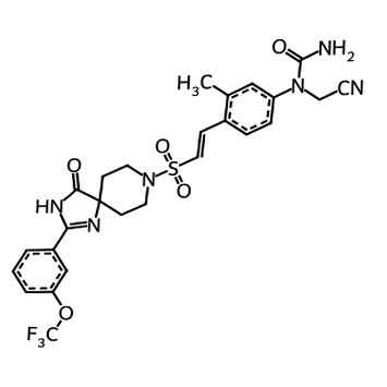 Cc1cc(N(CC#N)C(N)=O)ccc1C=CS(=O)(=O)N1CCC2(CC1)N=C(c1cccc(OC(F)(F)F)c1)NC2=O